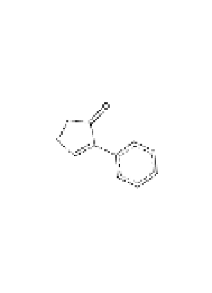 O=C1CSC=C1c1ccccc1